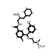 CN[C@H](CNC(=O)c1ccc(C)c(C(OCCN(C)C(=O)O)c2cccc(Cl)c2)c1)CC1CCCCC1